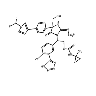 CC(C)(C)C[C@]1(c2ccc(-c3cnn(C(F)F)c3)cc2)NC(=NC(=O)O)N(C(COC(=O)NC2(C(F)(F)F)CC2)c2ccc(Cl)c(-c3nnn[nH]3)c2)C1=O